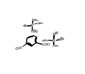 CCCC[N+](CCCC)(CCCC)CCCC.CCCC[N+](CCCC)(CCCC)CCCC.O=C([O-])c1cccc(C(=O)[O-])c1